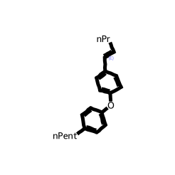 CCC/C=C/c1ccc(Oc2ccc(CCCCC)cc2)cc1